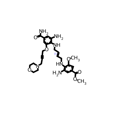 COC(=O)c1cc(N)c(NC/C=C/CNc2c(N)cc(C(N)=O)cc2OCC#CCN2CCOCC2)c(OC)c1